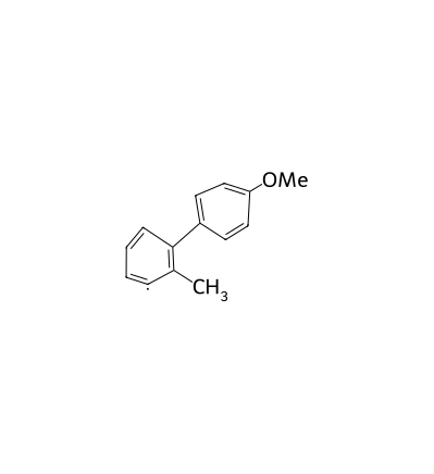 COc1ccc(-c2ccc[c]c2C)cc1